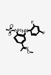 CON=C(C)c1ccc(NS(C)(=O)=O)c(Nc2ccc(F)cc2F)c1